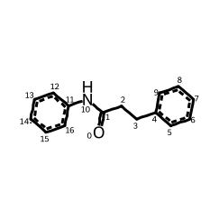 O=C(CCc1ccccc1)Nc1cc[c]cc1